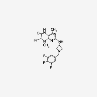 Cc1nc(NC2CN(Cc3cc(F)c(F)c(F)c3)C2)nc2c1NC(=O)C(C(C)C)N2C